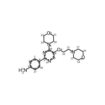 Nc1ccc(-c2ncc(OCCN3CCOCC3)c(N3CCOCC3)n2)cc1